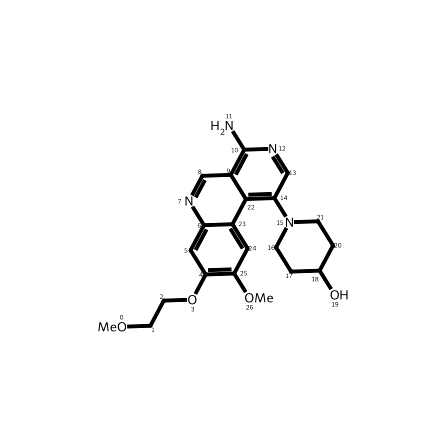 COCCOc1cc2ncc3c(N)ncc(N4CCC(O)CC4)c3c2cc1OC